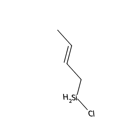 C/C=C/C[SiH2]Cl